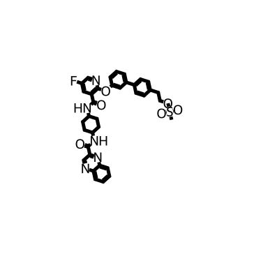 CS(=O)(=O)OCCc1ccc(-c2cccc(Oc3ncc(F)cc3C(=O)NC3CCC(NC(=O)c4cnc5ccccc5n4)CC3)c2)cc1